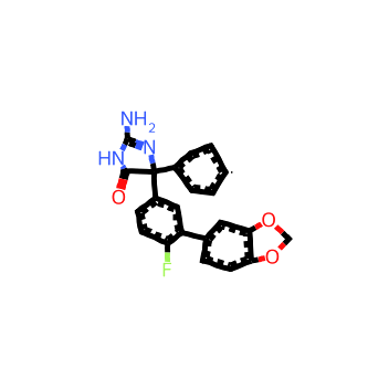 NC1=NC(c2cc[c]cc2)(c2ccc(F)c(-c3ccc4c(c3)OCO4)c2)C(=O)N1